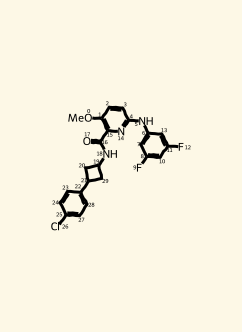 COc1ccc(Nc2cc(F)cc(F)c2)nc1C(=O)NC1CC(c2ccc(Cl)cc2)C1